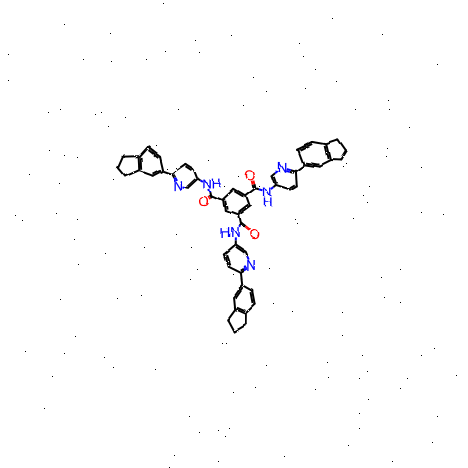 O=C(Nc1ccc(-c2ccc3c(c2)CCC3)nc1)c1cc(C(=O)Nc2ccc(-c3ccc4c(c3)CCC4)nc2)cc(C(=O)Nc2ccc(-c3ccc4c(c3)CCC4)nc2)c1